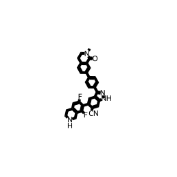 CN1CCc2ccc(-c3ccc(-c4n[nH]c5cc(C#N)c(-c6c(F)cc7c(c6F)CNCC7)cc45)cc3)cc2C1=O